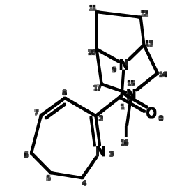 O=C(C1=NCCCC=C1)N1C2CCC1CN(I)C2